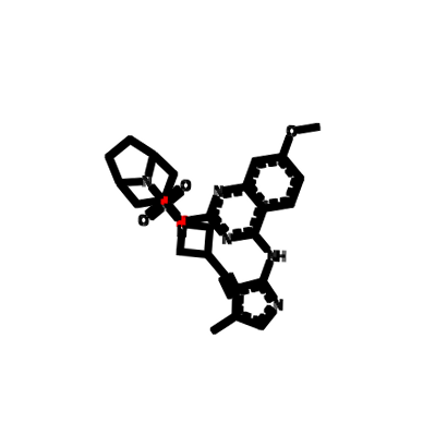 COc1ccc2c(Nc3ncc(C)s3)nc(NC3CC4CCC(C3)N4S(=O)(=O)N3CC(C#N)C3)nc2c1